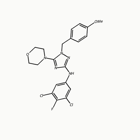 COc1ccc(Cn2nc(Nc3cc(Cl)c(F)c(Cl)c3)nc2N2CCOCC2)cc1